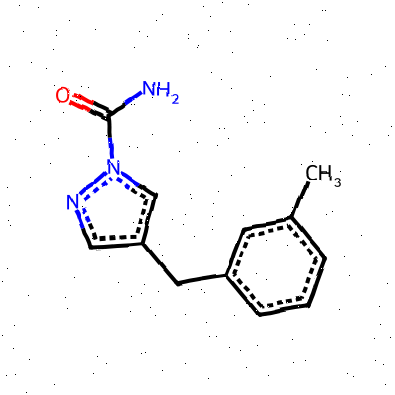 Cc1cccc(Cc2cnn(C(N)=O)c2)c1